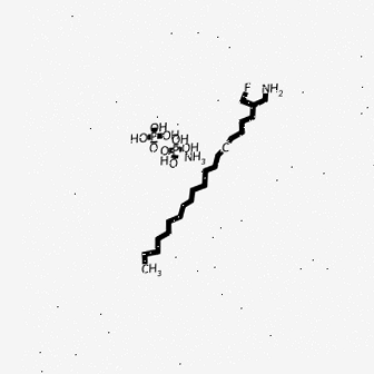 CCCCCCCCCCCCCCCCCCCC(CN)CF.N.O=P(O)(O)O.O=P(O)(O)O